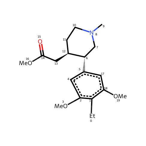 CCc1c(OC)cc([C@H]2CN(C)CC[C@@H]2CC(=O)OC)cc1OC